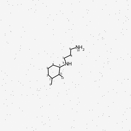 CC1CCCC(NCCCN)C1C